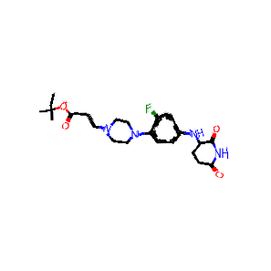 CC(C)(C)OC(=O)CCN1CCN(c2ccc(NC3CCC(=O)NC3=O)cc2F)CC1